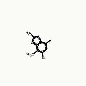 Cc1cc(Br)c(C(=O)O)c2sc(N)nc12